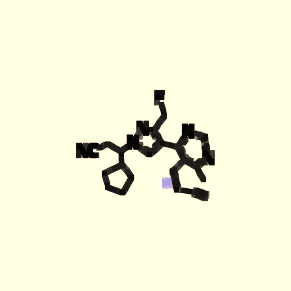 C#C/C=C\c1c(C)ncnc1-c1cn(C(CC#N)C2CCCC2)nc1CF